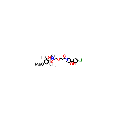 COc1cc(C)c(S(=O)(=O)N(C)CCOCCC(=O)N2CCC(O)(c3ccc(Cl)cc3)CC2)c(C)c1